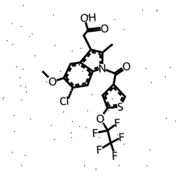 COc1cc2c(CC(=O)O)c(C)n(C(=O)c3csc(OC(F)(F)C(F)(F)F)c3)c2cc1Cl